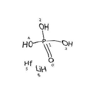 O=P(O)(O)O.[Hf].[LiH]